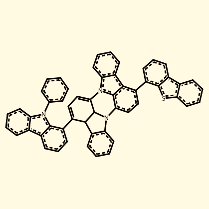 C1=C(c2cccc3c4ccccc4n(-c4ccccc4)c23)C2c3ccccc3N3c4ccc(-c5cccc6c5sc5ccccc56)c5c6ccccc6n(c45)C(=C1)C23